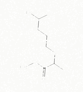 CCC(F)CCCSC(C)C(=O)OC(C)(C)C